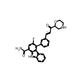 NC(=O)c1cc(F)c(-c2cccc(/C=C/C(=O)C3CNCCO3)c2)c2c1[nH]c1ccccc12